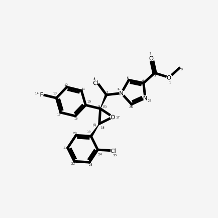 COC(=O)c1cn(C(Cl)[C@@]2(c3ccc(F)cc3)O[C@H]2c2ccccc2Cl)cn1